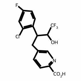 O=C(O)c1ccc(CC(c2ccc(F)cc2Cl)C(O)C(F)(F)F)cn1